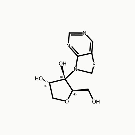 OC[C@H]1OC[C@H](O)[C@]1(O)N1CSc2cncnc21